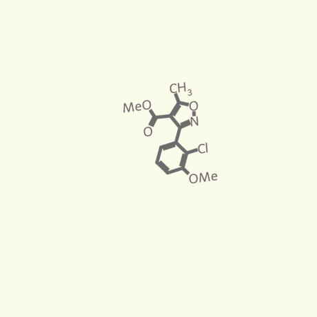 COC(=O)c1c(-c2cccc(OC)c2Cl)noc1C